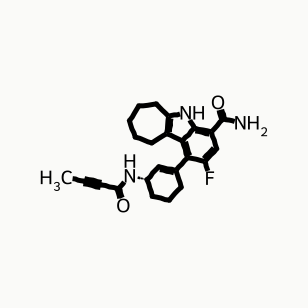 CC#CC(=O)N[C@@H]1C=C(c2c(F)cc(C(N)=O)c3[nH]c4c(c23)CCCCC4)CCC1